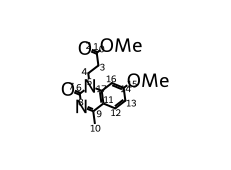 COC(=O)CCn1c(=O)nc(C)c2ccc(OC)cc21